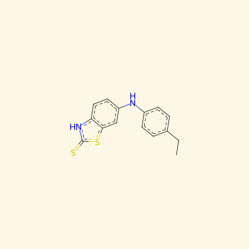 CCc1ccc(Nc2ccc3[nH]c(=S)sc3c2)cc1